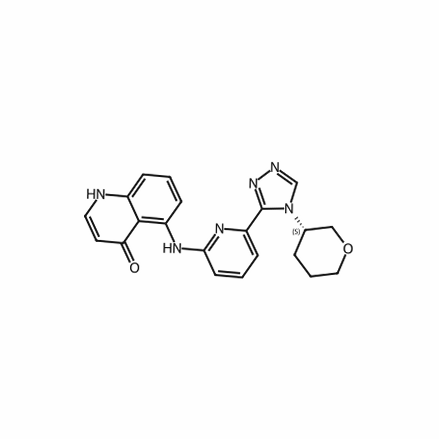 O=c1cc[nH]c2cccc(Nc3cccc(-c4nncn4[C@H]4CCCOC4)n3)c12